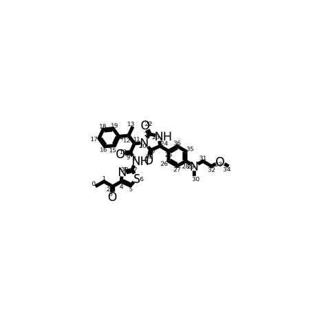 CCC(=O)c1csc(NC(=O)C(C(C)c2ccccc2)N2C(=O)NC(c3ccc(N(C)CCOC)cc3)C2=O)n1